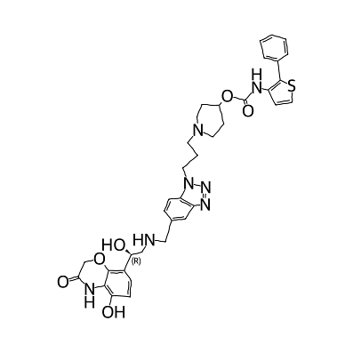 O=C1COc2c([C@@H](O)CNCc3ccc4c(c3)nnn4CCCN3CCC(OC(=O)Nc4ccsc4-c4ccccc4)CC3)ccc(O)c2N1